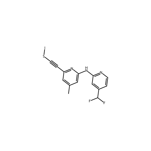 Cc1cc(C#CSI)nc(Nc2cc(C(F)F)ccn2)c1